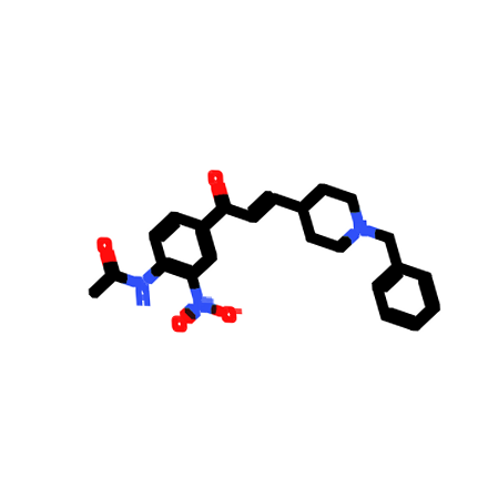 CC(=O)Nc1ccc(C(=O)C=CC2CCN(Cc3ccccc3)CC2)cc1[N+](=O)[O-]